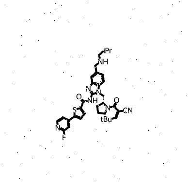 CC(C)CNCc1ccc2c(c1)nc(NC(=O)c1ccc(-c3ccnc(F)c3)s1)n2C[C@H]1CCCN1C(=O)C(C#N)=CC(C)(C)C